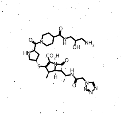 C[C@@H](NC(=O)Cn1cnnn1)[C@H]1C(=O)N2C(C(=O)O)=C(S[C@@H]3CNC(C(=O)N4CCC(C(=O)NCC(O)CN)CC4)C3)[C@H](C)[C@H]12